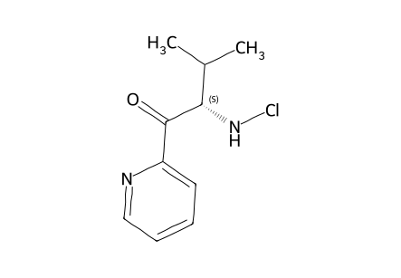 CC(C)[C@H](NCl)C(=O)c1ccccn1